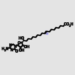 Nc1ncn([C@@H]2O[C@H](C(O)CCCCCCCC/C=C/CCCCCCCC(=O)O)[C@@H](O)[C@H]2O)c(=O)n1